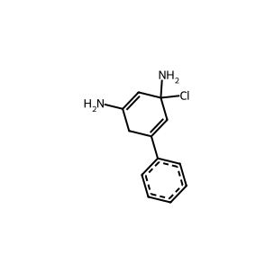 NC1=CC(N)(Cl)C=C(c2ccccc2)C1